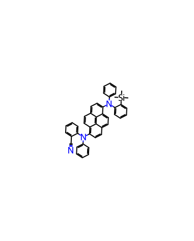 C[Si](C)(C)c1ccccc1N(c1ccccc1)c1ccc2ccc3c(N(c4ccccc4)c4ccccc4C#N)ccc4ccc1c2c43